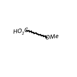 COCCCCCCCCCCCCCCCCCC(=O)O